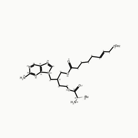 CCCCCCCCCCCC=CCCCCC(=O)OCC(CCOC(=O)[C@@H](N)[C@@H](C)CC)Cn1cnc2cnc(N)nc21